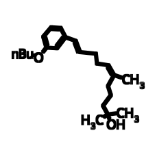 CCCCOc1cccc(C=CCCC=C(C)CCCC(C)(C)O)c1